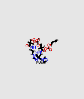 C#CCCOC(=O)OCC(C)(COC(=O)OCC(C)(CO)C(=O)NCCCn1cc[n+](CCCC)c1)C(=O)NCCCn1ccnc1